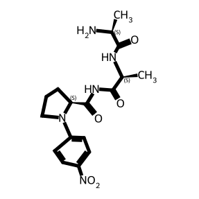 C[C@H](N)C(=O)N[C@@H](C)C(=O)NC(=O)[C@@H]1CCCN1c1ccc([N+](=O)[O-])cc1